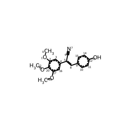 COc1cc(C(C#N)=Cc2ccc(O)cc2)cc(OC)c1OC